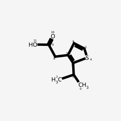 CC(C)c1sccc1CC(=O)O